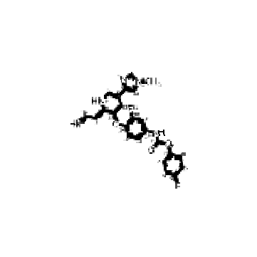 Cn1cnc(C2=CN/C(=C\C=N)C(Oc3ccc(NC(=O)Oc4ccc(F)cc4)cc3F)=C2)c1